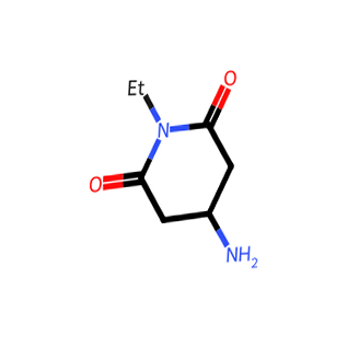 CCN1C(=O)CC(N)CC1=O